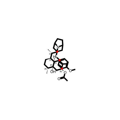 COc1ccc(SC2CC3CCC(C2)N3C[C@@H](C)[C@@H]2CC[C@@H](C)[C@]3(O)[C][C@@H](OC(C)=O)C(C)=C[C@H]23)cc1